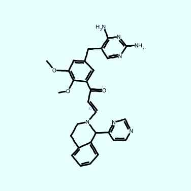 COc1cc(Cc2cnc(N)nc2N)cc(C(=O)/C=C/N2CCc3ccccc3C2c2ccncn2)c1OC